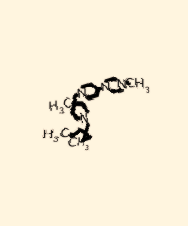 CC(C)CC1(CN2CCC(C)(CN3CCC(N4CCN(C)CC4)CC3)CC2)CC1